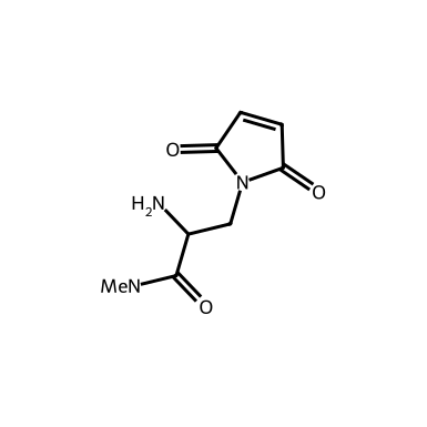 CNC(=O)C(N)CN1C(=O)C=CC1=O